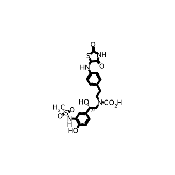 CS(=O)(=O)Nc1cc([C@H](O)CN(CCc2ccc(NC3SC(=O)NC3=O)cc2)C(=O)O)ccc1O